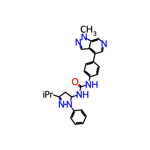 CC(C)C1=NN(c2ccccc2)C(NC(=O)Nc2ccc(-c3cncc4c3cnn4C)cc2)C1